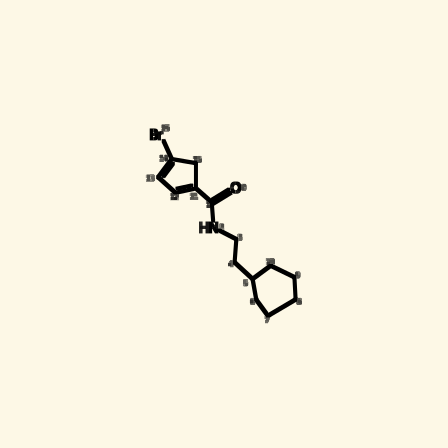 O=C(NCCC1CCCCC1)C1=CC=C(Br)C1